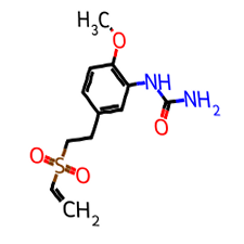 C=CS(=O)(=O)CCc1ccc(OC)c(NC(N)=O)c1